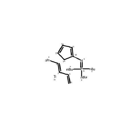 C=CC=CCCC.CCCCP(CCCC)(CCCC)=NC1=CC=CC1.[Ti]